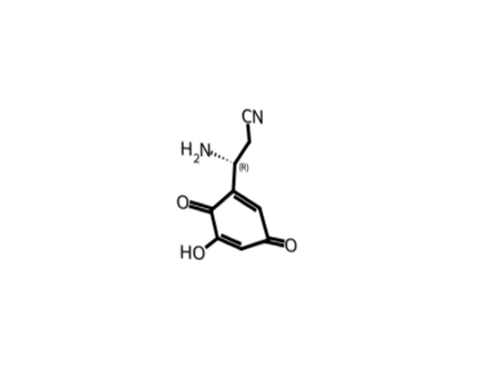 N#CC[C@@H](N)C1=CC(=O)C=C(O)C1=O